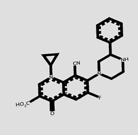 N#Cc1c(N2CCNC(c3ccccc3)C2)c(F)cc2c(=O)c(C(=O)O)cn(C3CC3)c12